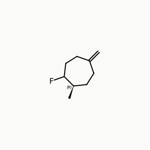 C=C1CCC(F)[C@H](C)CC1